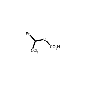 CCC(OC(=O)O)C(Cl)(Cl)Cl